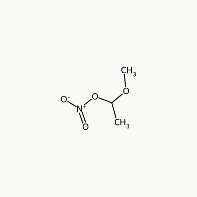 COC(C)O[N+](=O)[O-]